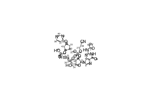 CC(C)C(=O)Nc1nc2c(ncn2[C@@H]2O[C@H](CO)C(O[Si](C)(C)C(C)(C)C)[C@H]2OP(=O)(OCCC#N)OC[C@H]2C[C@@H](Oc3ccncn3)C[C@@H]2O[PH](=O)O)c(=O)[nH]1